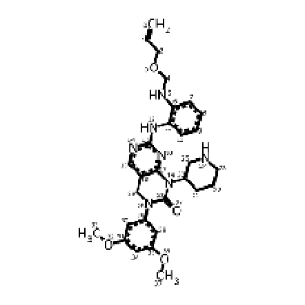 C=CCOCNc1ccccc1Nc1ncc2c(n1)N(C1CCCNC1)C(=O)N(c1cc(OC)cc(OC)c1)C2